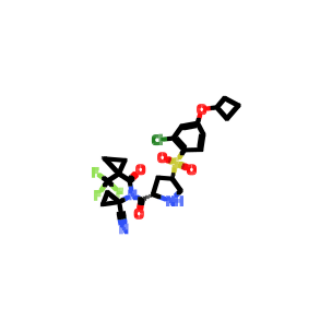 N#CC1(N(C(=O)[C@@H]2C[C@@H](S(=O)(=O)c3ccc(OC4CCC4)cc3Cl)CN2)C(=O)C2(C(F)(F)F)CC2)CC1